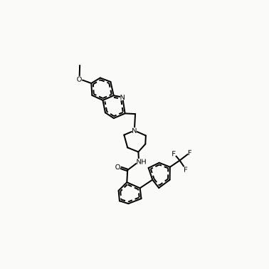 COc1ccc2nc(CN3CCC(NC(=O)c4ccccc4-c4ccc(C(F)(F)F)cc4)CC3)ccc2c1